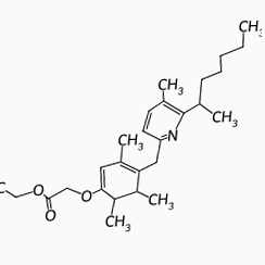 CCCCCC(C)c1nc(CC2=C(C)C=C(OCC(=O)OCC)C(C)C2C)ccc1C